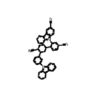 N#Cc1ccc(-c2ccc(C#N)c(-c3cccc(-n4c5ccccc5c5ccccc54)c3)c2)c(-n2c3ccccc3c3cc(C#N)ccc32)c1